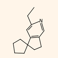 CCc1cc2c(cn1)CCC21CCCC1